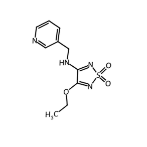 CCOC1=NS(=O)(=O)N=C1NCc1cccnc1